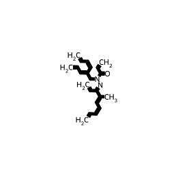 C=C\C=C/C=C(C)/C(C=C)=N/N(CC(/C=C\C=C)=C/C=C)C(=O)C=C